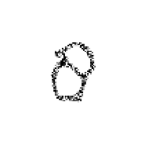 O=C1NCCCCCCCCCCCCCCCCC2CCCCCCCCCCCCCCCCCSSCc3cc(cc1c3)CSS2